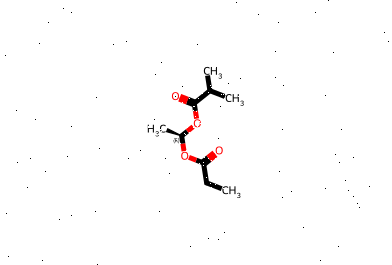 CCC(=O)O[C@@H](C)OC(=O)C(C)C